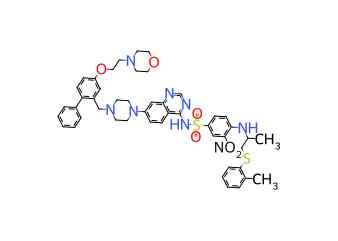 Cc1ccccc1SCC(C)Nc1ccc(S(=O)(=O)Nc2ncnc3cc(N4CCN(Cc5cc(OCCN6CCOCC6)ccc5-c5ccccc5)CC4)ccc23)cc1[N+](=O)[O-]